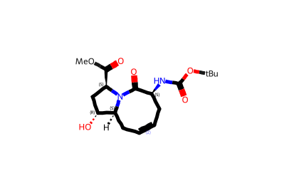 COC(=O)[C@@H]1C[C@@H](O)[C@@H]2C/C=C\C[C@H](NC(=O)OC(C)(C)C)C(=O)N12